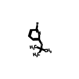 CC(C)(C)Sc1cccc(F)n1